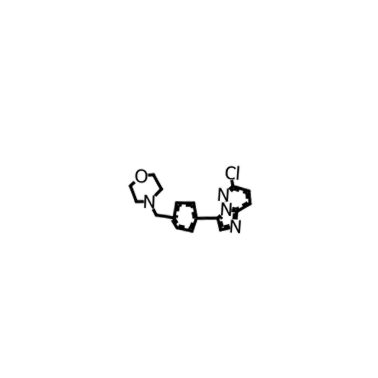 Clc1ccc2ncc(-c3ccc(CN4CCOCC4)cc3)n2n1